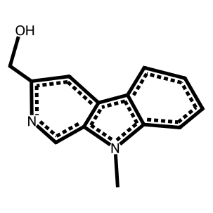 Cn1c2ccccc2c2cc(CO)ncc21